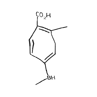 CBc1ccc(C(=O)O)c(C)c1